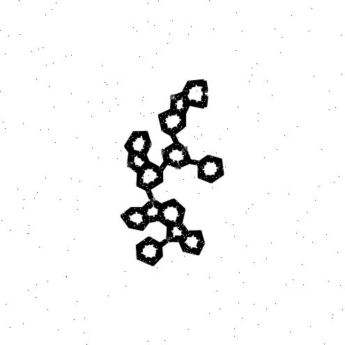 c1ccc(-c2nc(-c3ccc4oc5ccccc5c4c3)nc(-c3cc(-n4c5ccccc5c5c4ccc4c6ccccc6n(-c6ccccc6)c45)cc4sc5ccccc5c34)n2)cc1